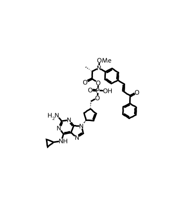 CON(c1ccc(C=CC(=O)c2ccccc2)cc1)[C@@H](C)C(=O)OP(=O)(O)OC[C@@H]1C=C[C@H](n2cnc3c(NC4CC4)nc(N)nc32)C1